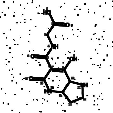 O=C(O)CNC(=O)C1=C(O)C2NCCC2NC1=O